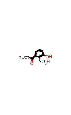 CCCCCCCCC(=O)c1cccc(O)c1S(=O)(=O)O